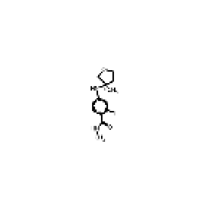 CNC(=O)c1ccc(N[C@]2(C)CCOC2)cc1F